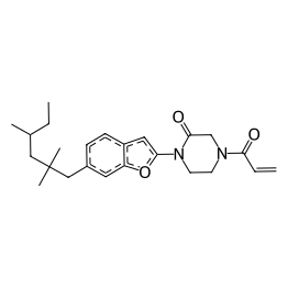 C=CC(=O)N1CCN(c2cc3ccc(CC(C)(C)CC(C)CC)cc3o2)C(=O)C1